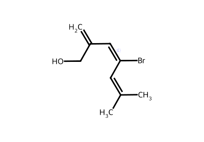 C=C(/C=C(/Br)C=C(C)C)CO